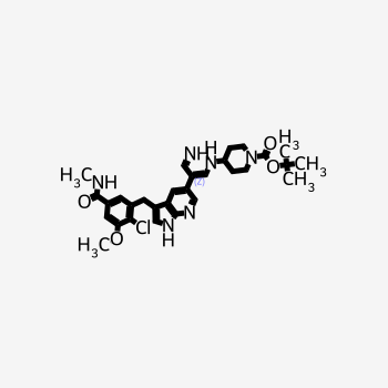 CNC(=O)c1cc(Cc2c[nH]c3ncc(/C(C=N)=C/NC4CCN(C(=O)OC(C)(C)C)CC4)cc23)c(Cl)c(OC)c1